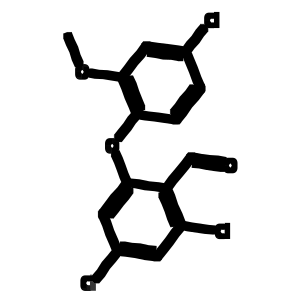 COc1cc(Cl)ccc1Oc1cc(Cl)cc(Cl)c1C=O